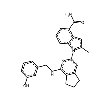 Cc1cc2c(C(N)=O)cccc2n1-c1nc2c(c(NCc3cccc(O)c3)n1)CCC2